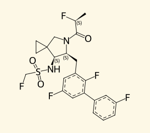 C[C@H](F)C(=O)N1CC2(CC2)[C@H](NS(=O)(=O)CF)[C@@H]1Cc1cc(F)cc(-c2cccc(F)c2)c1F